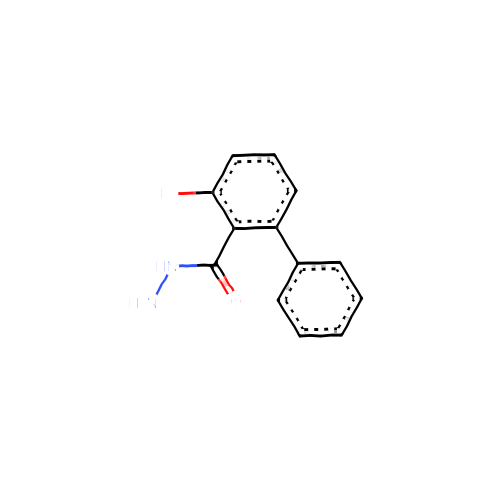 NNC(=O)c1c(O)cccc1-c1ccccc1